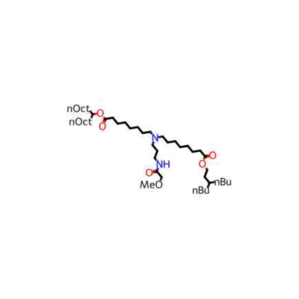 CCCCCCCCC(CCCCCCCC)OC(=O)CCCCCCCN(CCCCCCCC(=O)OCCC(CCCC)CCCC)CCCNC(=O)COC